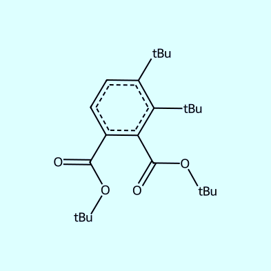 CC(C)(C)OC(=O)c1ccc(C(C)(C)C)c(C(C)(C)C)c1C(=O)OC(C)(C)C